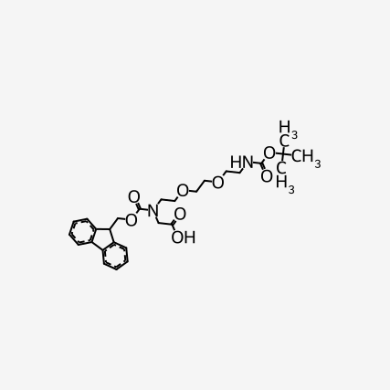 CC(C)(C)OC(=O)NCCOCCOCCN(CC(=O)O)C(=O)OCC1c2ccccc2-c2ccccc21